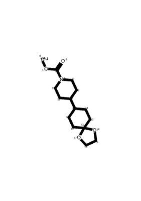 CC(C)(C)OC(=O)N1CCC(C2CCC3(CC2)OCCO3)CC1